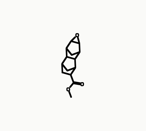 COC(=O)C1CC2CC1C1C3CC(C4OC34)C21